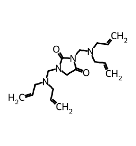 C=CCN(CC=C)CN1CC(=O)N(CN(CC=C)CC=C)C1=O